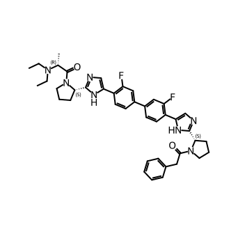 CCN(CC)[C@H](C)C(=O)N1CCC[C@H]1c1ncc(-c2ccc(-c3ccc(-c4cnc([C@@H]5CCCN5C(=O)Cc5ccccc5)[nH]4)c(F)c3)cc2F)[nH]1